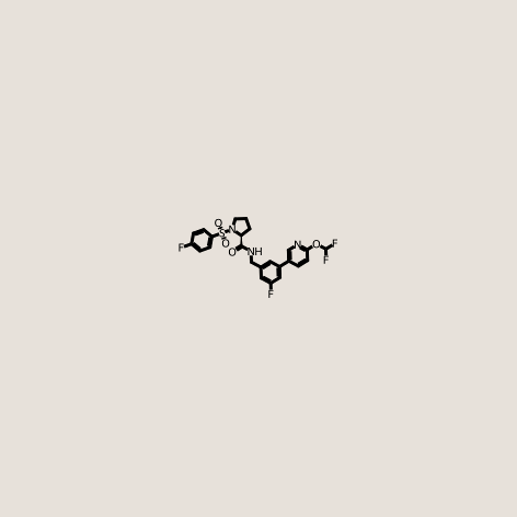 O=C(NCc1cc(F)cc(-c2ccc(OC(F)F)nc2)c1)[C@@H]1CCCN1S(=O)(=O)c1ccc(F)cc1